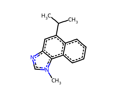 CC(C)c1cc2ncn(C)c2c2ccccc12